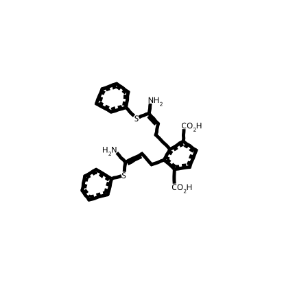 NC(=CCc1c(C(=O)O)ccc(C(=O)O)c1CC=C(N)Sc1ccccc1)Sc1ccccc1